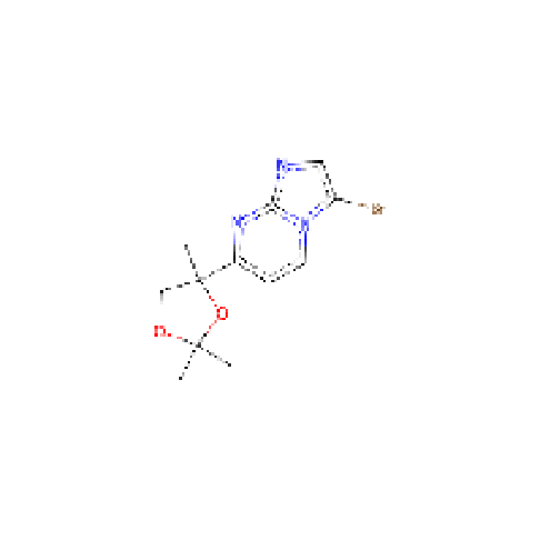 CC1(C)OCC(C)(c2ccn3c(Br)cnc3n2)O1